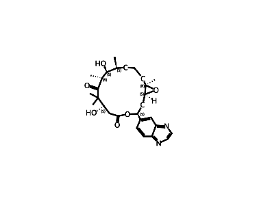 C[C@H]1CCC[C@@]2(C)O[C@H]2C[C@@H](c2ccc3nccnc3c2)OC(=O)C[C@H](O)C(C)(C)C(=O)[C@H](C)[C@H]1O